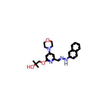 CC(C)(O)COc1cc(N2CCOCC2)cc(C=NNc2ccc3ccccc3c2)n1